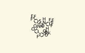 COc1ccc(-c2cc(S(=O)(=O)NC(C)(C)C)ccc2F)cc1C(=O)Nc1c(C(=O)Nc2ccc(F)c(C(F)(F)F)c2)sc2cc(C(F)(F)F)ccc12